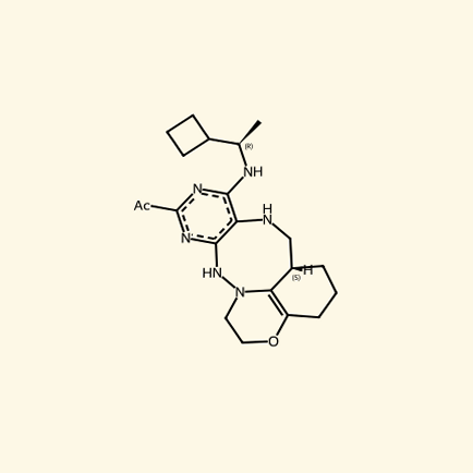 CC(=O)c1nc(N[C@H](C)C2CCC2)c2c(n1)NN1CCOC3=C1[C@@H](CCC3)CN2